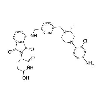 C[C@@H]1CN(c2ccc(N)cc2Cl)CCN1Cc1ccc(CNc2cccc3c2C(=O)N(C2CCC(O)NC2=O)C3=O)cc1